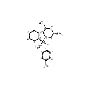 CC1CN(C([SiH3])(Cc2ccc(C(C)(C)C)cc2)C2CCCCC2)CC(C)O1